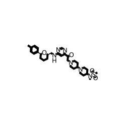 Cc1ccc([C@@H]2CCC[C@H](CNc3cc(C(=O)CN4CCC(N5CCC(N(C)S(C)(=O)=O)CC5)CC4)ncn3)O2)cc1